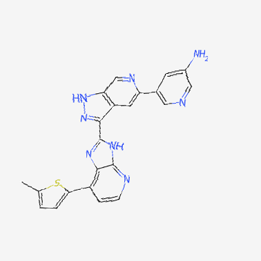 Cc1ccc(-c2ccnc3[nH]c(-c4n[nH]c5cnc(-c6cncc(N)c6)cc45)nc23)s1